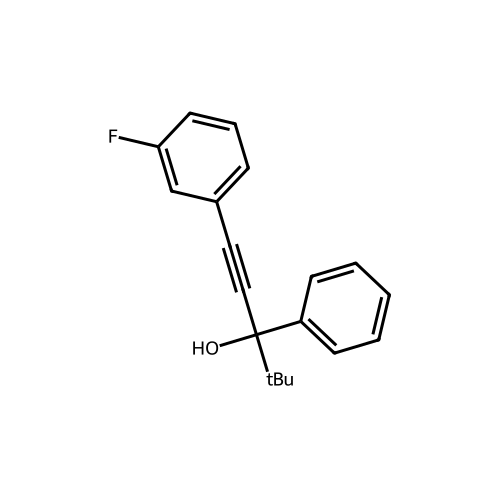 CC(C)(C)C(O)(C#Cc1cccc(F)c1)c1ccccc1